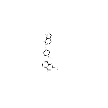 COc1ncc2ncnc(Nc3ccc(Oc4ccc5csnc5c4)c(C)c3)c2n1